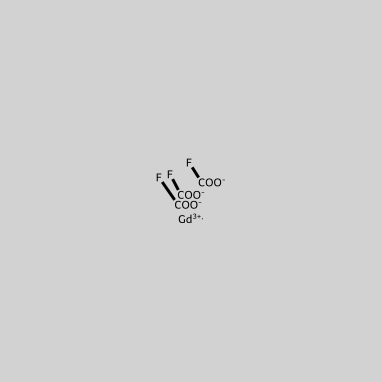 O=C([O-])F.O=C([O-])F.O=C([O-])F.[Gd+3]